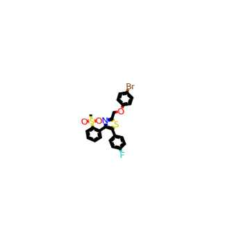 CS(=O)(=O)c1ccccc1-c1nc(COc2ccc(Br)cc2)sc1-c1ccc(F)cc1